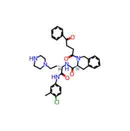 Cc1cc(NC(=O)[C@H](CCN2CCNCC2)NC(=O)[C@@H]2Cc3ccccc3CN2C(=O)CCC(=O)c2ccccc2)ccc1Cl